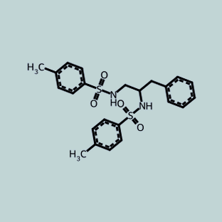 Cc1ccc(S(=O)(=O)NCC(Cc2ccccc2)NS(=O)(=O)c2ccc(C)cc2)cc1